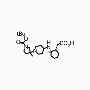 CC(C)(C)OC(=O)N1CCC(C)(N2CCC(N[C@H]3CCCC[C@@H]3CC(=O)O)CC2)C1